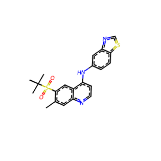 Cc1cc2nccc(Nc3ccc4scnc4c3)c2cc1S(=O)(=O)C(C)(C)C